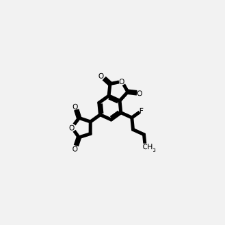 CCCC(F)c1cc(C2CC(=O)OC2=O)cc2c1C(=O)OC2=O